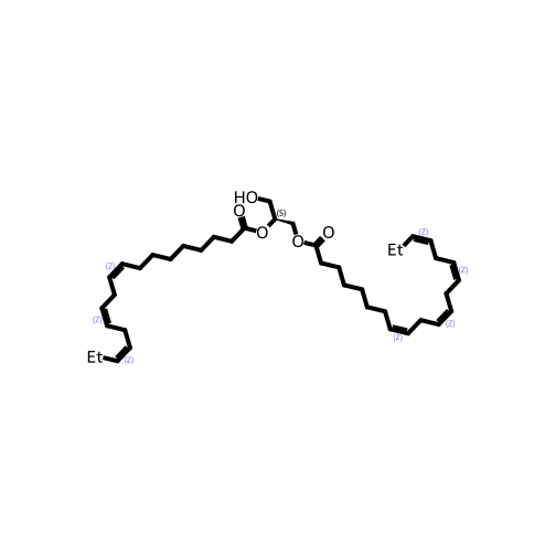 CC/C=C\C/C=C\C/C=C\C/C=C\CCCCCCC(=O)OC[C@H](CO)OC(=O)CCCCCCC/C=C\C/C=C\C/C=C\CC